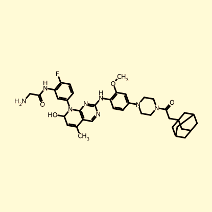 COc1cc(N2CCN(C(=O)CC34CC5CC(CC(C5)C3)C4)CC2)ccc1Nc1ncc2c(n1)N(c1ccc(F)c(NC(=O)CN)c1)C(O)C=C2C